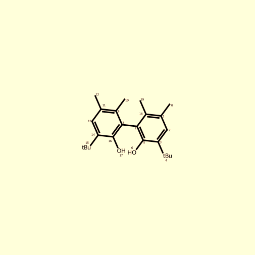 Cc1cc(C(C)(C)C)c(O)c(-c2c(C)c(C)cc(C(C)(C)C)c2O)c1C